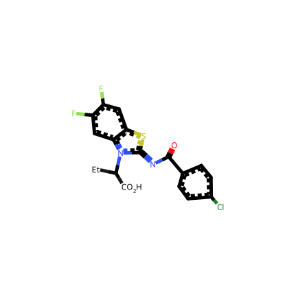 CCC(C(=O)O)n1c(=NC(=O)c2ccc(Cl)cc2)sc2cc(F)c(F)cc21